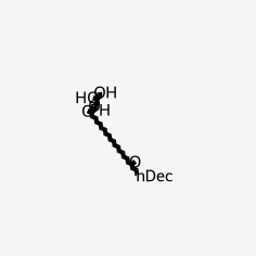 CCCCCCCCCCCCCC(=O)CCCCCCCCCCCCCCCCCC(=O)POCC(O)CO